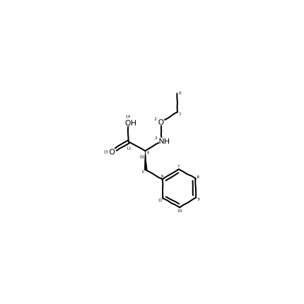 CCON[C@@H](Cc1ccccc1)C(=O)O